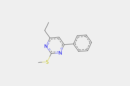 CCc1cc(-c2ccccc2)nc(SC)n1